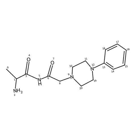 CC(N)C(=O)NC(=O)CN1CCN(c2ccccc2)CC1